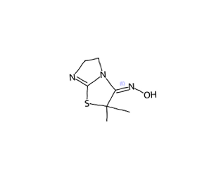 CC1(C)SC2=NCCN2/C1=N/O